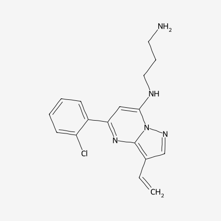 C=Cc1cnn2c(NCCCN)cc(-c3ccccc3Cl)nc12